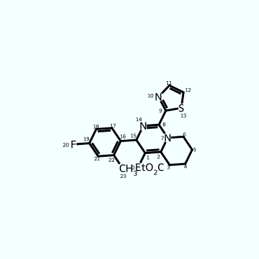 CCOC(=O)C1=C2CCCCN2C(c2nccs2)=NC1c1ccc(F)cc1C